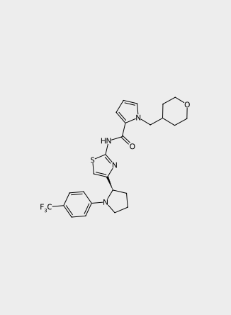 O=C(Nc1nc([C@H]2CCCN2c2ccc(C(F)(F)F)cc2)cs1)c1cccn1CC1CCOCC1